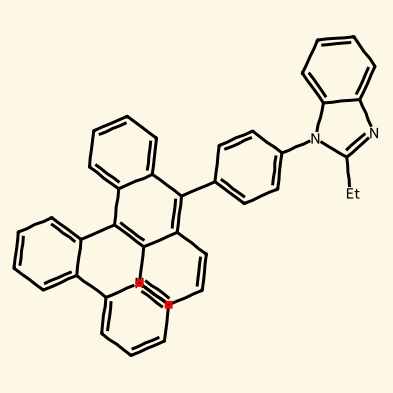 CCc1nc2ccccc2n1-c1ccc(-c2c3ccccc3c(-c3ccccc3-c3ccccn3)c3ccccc23)cc1